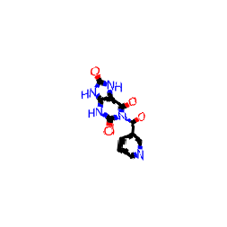 O=C(c1cccnc1)n1c(=O)[nH]c2[nH]c(=O)[nH]c2c1=O